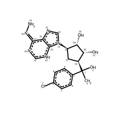 CC(O)(c1ccc(Cl)cc1)[C@H]1C[C@@H](n2cnc3/c(=N\N)nc[nH]c32)[C@H](O)[C@@H]1O